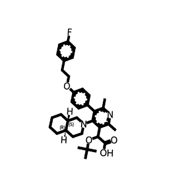 Cc1nc(C)c(C(OC(C)(C)C)C(=O)O)c(N2CC[C@H]3CCCC[C@@H]3C2)c1-c1ccc(OCCc2ccc(F)cc2)cc1